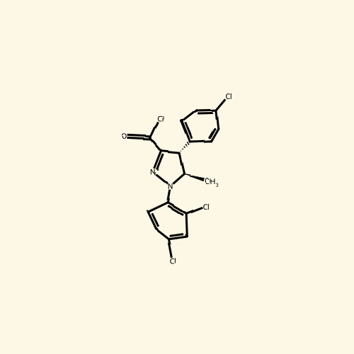 C[C@@H]1[C@@H](c2ccc(Cl)cc2)C(C(=O)Cl)=NN1c1ccc(Cl)cc1Cl